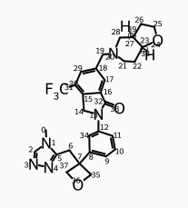 Cn1cnnc1CC1(c2cccc(N3Cc4c(cc(CN5CC[C@@H]6OCC[C@@H]6C5)cc4C(F)(F)F)C3=O)c2)COC1